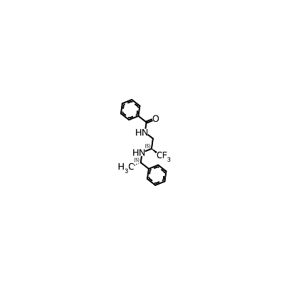 C[C@H](N[C@@H](CNC(=O)c1ccccc1)C(F)(F)F)c1ccccc1